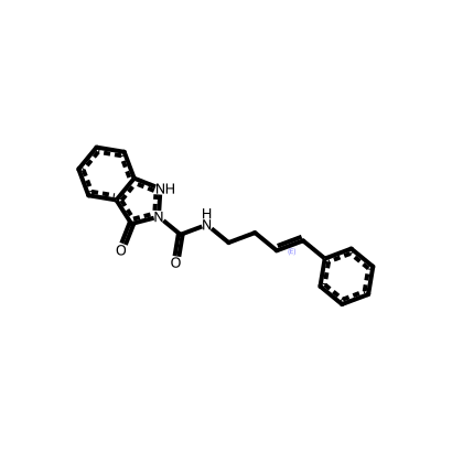 O=C(NCC/C=C/c1ccccc1)n1[nH]c2ccccc2c1=O